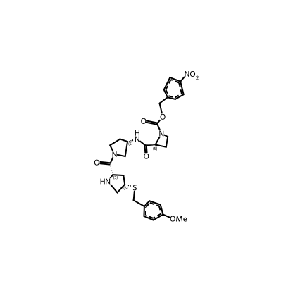 COc1ccc(CS[C@@H]2CN[C@H](C(=O)N3CC[C@H](NC(=O)[C@@H]4CCN4C(=O)OCc4ccc([N+](=O)[O-])cc4)C3)C2)cc1